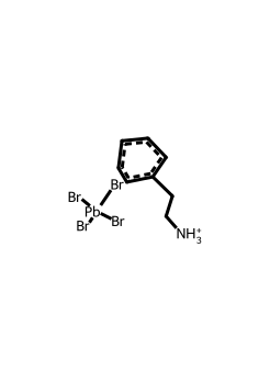 [Br][Pb]([Br])([Br])[Br].[NH3+]CCc1ccccc1